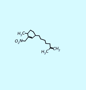 C=C(C)CCCCCC1C=C(C[N+](=O)[O-])C(C)CC1